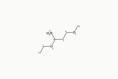 CCOC(N)CCOC